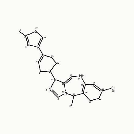 Cc1nc(C2=CCC(N3N=CN4C3=CNC3=C(CCC(Cl)=C3)C4C)CC2)cs1